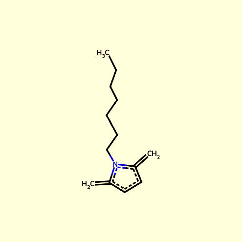 C=c1ccc(=C)n1CCCCCCC